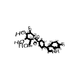 O=S(=O)(c1ccc(-c2c[nH]c3cc(F)ccc23)cc1)N1CC(F)C(O)C(O)C1CO